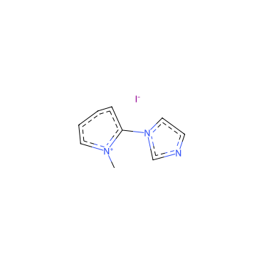 C[n+]1ccccc1-n1ccnc1.[I-]